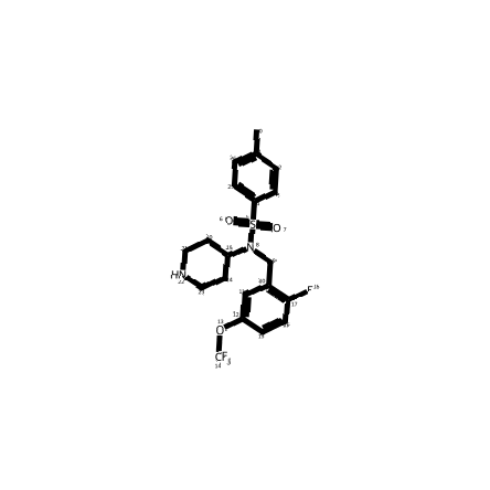 Cc1ccc(S(=O)(=O)N(Cc2cc(OC(F)(F)F)ccc2F)C2CCNCC2)cc1